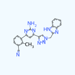 Cc1c(C#N)cccc1-c1cc(-c2cn(Cc3nc4ccccc4[nH]3)nn2)nc(N)n1